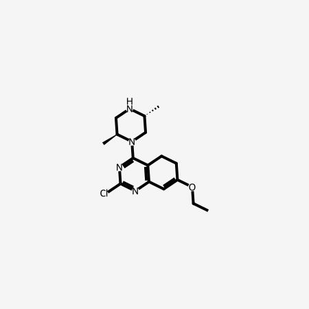 CCOC1=Cc2nc(Cl)nc(N3C[C@@H](C)NC[C@@H]3C)c2CC1